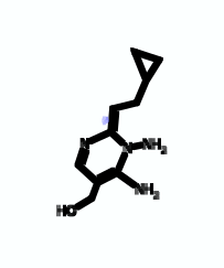 NC1=C(CO)C=N/C(=C/CC2CC2)N1N